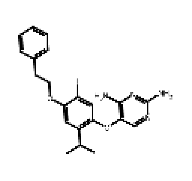 CC(C)c1cc(OCCc2ccccc2)c(I)cc1Oc1cnc(N)nc1N